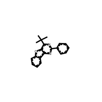 CC(C)(C)c1nc(-c2ccccc2)nc2c1oc1ccccc12